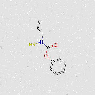 C=CCN(S)C(=O)Oc1ccccc1